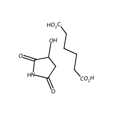 O=C(O)CCCCC(=O)O.O=C1CC(O)C(=O)N1